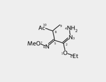 CCOC(=NN)C(=NOC)C(C)C(C)=O